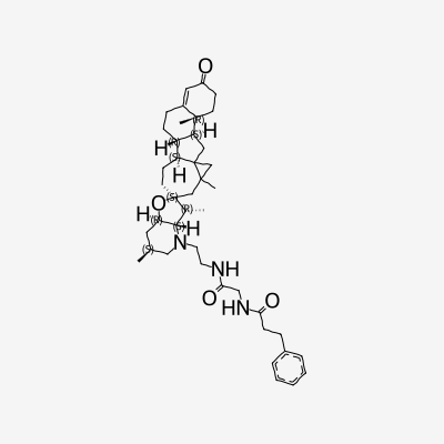 C[C@H]1C[C@H]2O[C@]3(CC[C@H]4[C@@H]5CCC6=CC(=O)CC[C@]6(C)[C@H]5CC45CC5(C)C3)[C@H](C)[C@@H]2N(CCNC(=O)CNC(=O)CCc2ccccc2)C1